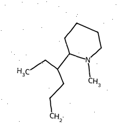 [CH2]CCC(CC)C1CCCCN1C